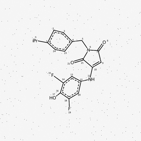 CC(C)c1ccc(CN2C(=O)C=C(Nc3cc(F)c(O)c(F)c3)C2=O)cc1